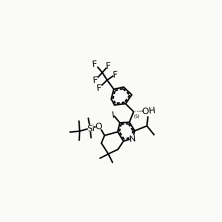 CC(C)c1nc2c(c(I)c1[C@@H](O)c1ccc(C(F)(F)C(F)(F)F)cc1)C(O[Si](C)(C)C(C)(C)C)CC(C)(C)C2